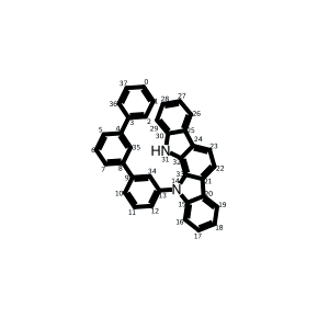 c1ccc(-c2cccc(-c3cccc(-n4c5ccccc5c5ccc6c7ccccc7[nH]c6c54)c3)c2)cc1